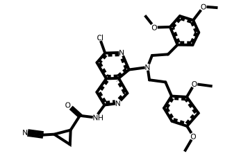 COc1ccc(CCN(CCc2ccc(OC)cc2OC)c2nc(Cl)cc3cc(NC(=O)C4CC4C#N)ncc23)c(OC)c1